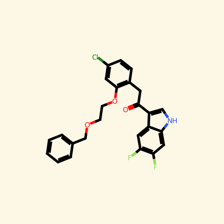 O=C(Cc1ccc(Cl)cc1OCCOCc1ccccc1)c1c[nH]c2cc(F)c(F)cc12